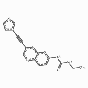 CCNC(=O)Nc1ccc2ncc(C#Cc3ccsc3)nc2n1